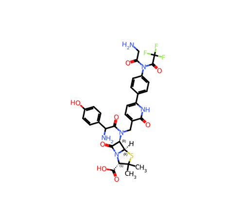 CC1(C)S[C@@H]2[C@H](N(Cc3ccc(-c4ccc(N(C(=O)CN)C(=O)C(F)(F)F)cc4)[nH]c3=O)C(=O)C(N)c3ccc(O)cc3)C(=O)N2[C@H]1C(=O)O